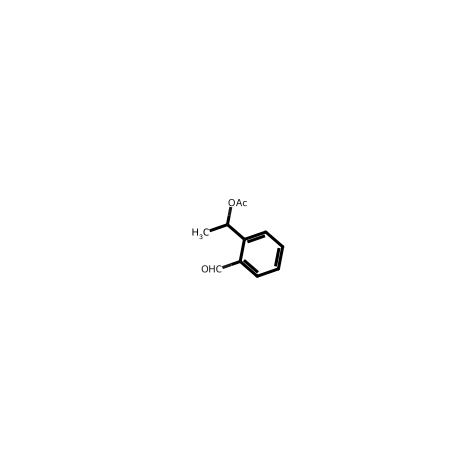 CC(=O)OC(C)c1ccccc1C=O